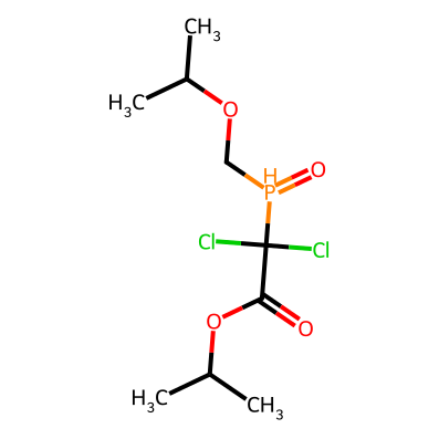 CC(C)OC[PH](=O)C(Cl)(Cl)C(=O)OC(C)C